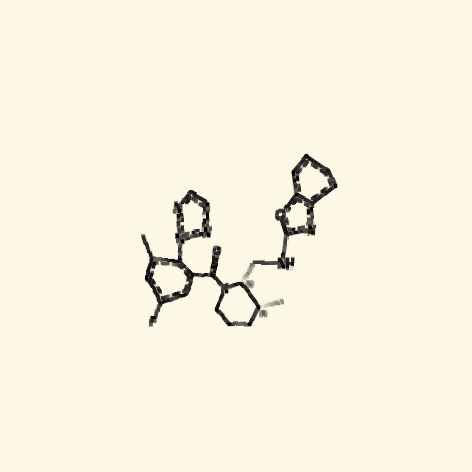 Cc1cc(F)cc(C(=O)N2CCC[C@@H](C)[C@H]2CNc2nc3ccccc3o2)c1-n1nccn1